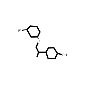 CC(CO[C@H]1CCC[C@H](C(C)C)C1)C1CCC(O)CC1